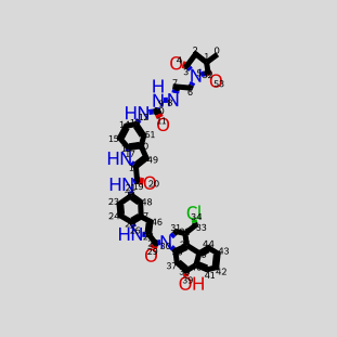 CC1CC(=O)N(C/C=N/NC(=O)Nc2ccc3[nH]c(C(=O)Nc4ccc5[nH]c(C(=O)N6CC(CCl)c7c6cc(O)c6ccccc76)cc5c4)cc3c2)C1=O